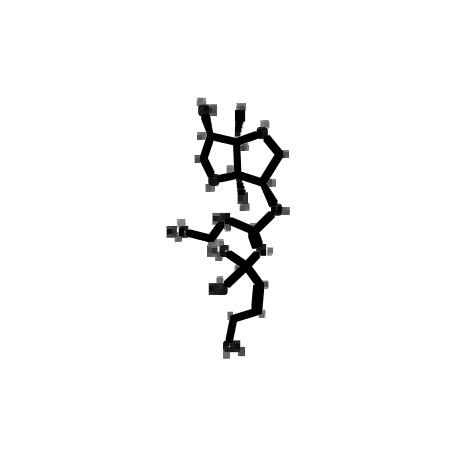 CC/C=C\C(C)(O)/N=C(\NCC)O[C@@H]1CO[C@H]2[C@@H]1OC[C@H]2O